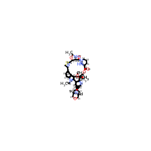 CCO[C@@H]1C2=NC(CS2)c2ccc3c(c2)c(c(-c2cc(C4C[C@@H]5COC[C@@H](C4)N5C4CC4)cnc2[C@H](C)OC)n3CC)CC(C)(C)COC(=O)[C@@H]2CCCN(N2)C(=O)[C@H]1N